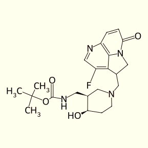 CC(C)(C)OC(=O)NC[C@H]1CN(CC2Cn3c(=O)ccc4ncc(F)c2c43)CC[C@H]1O